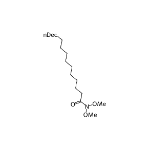 CCCCCCCCCCCCCCCCCCCC(=O)N(OC)OC